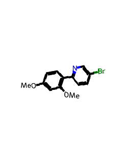 COc1ccc(-c2ccc(Br)cn2)c(OC)c1